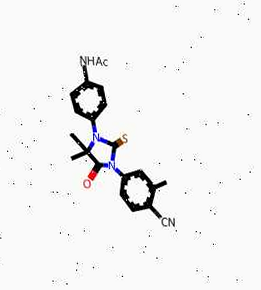 CC(=O)Nc1ccc(N2C(=S)N(c3ccc(C#N)c(C)c3)C(=O)C2(C)C)cc1